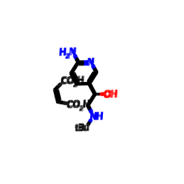 CC(C)(C)NC[C@H](O)c1ccc(N)nc1.O=C(O)/C=C\C(=O)O